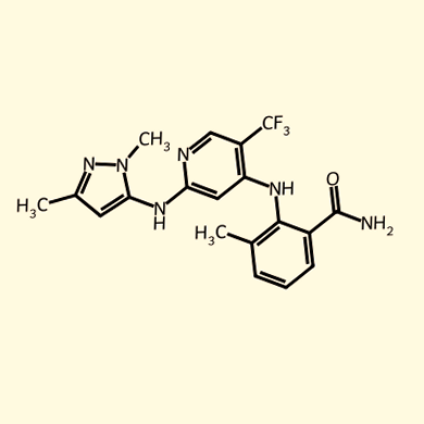 Cc1cc(Nc2cc(Nc3c(C)cccc3C(N)=O)c(C(F)(F)F)cn2)n(C)n1